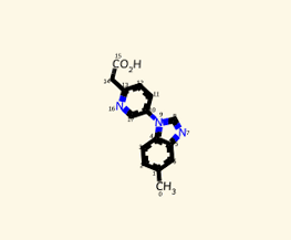 Cc1ccc2c(c1)ncn2-c1ccc(CC(=O)O)nc1